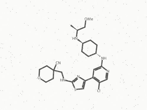 COC[C@H](C)N[C@H]1CC[C@H](Nc2cc(-c3csc(NCC4(C#N)CCOCC4)n3)c(Cl)cn2)CC1